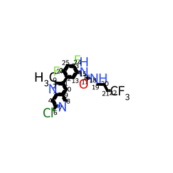 Cc1nc2cc(Cl)ncc2cc1-c1cc(NC(=O)NCCCC(F)(F)F)c(F)cc1F